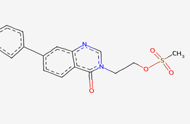 CS(=O)(=O)OCCn1cnc2cc(-c3ccccc3)ccc2c1=O